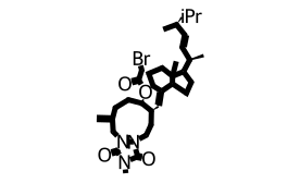 C=C1CC[C@H](OC(=O)CBr)[C@H](/C=C2\CCCC3(C)C2CCC3[C@H](C)/C=C/[C@H](C)C(C)C)CCn2c(=O)n(C)c(=O)n2C1